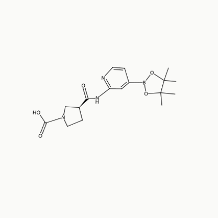 CC1(C)OB(c2ccnc(NC(=O)[C@H]3CCN(C(=O)O)C3)c2)OC1(C)C